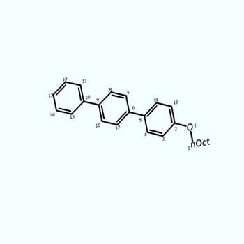 CCCCCCCCOc1ccc(-c2ccc(-c3ccccc3)cc2)cc1